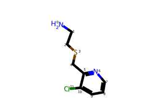 NCCSCc1ncccc1Cl